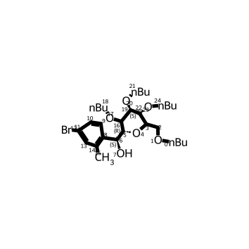 CCCCOCC1O[C@H]([C@@H](O)c2ccc(Br)cc2C)C(OCCCC)[C@@H](OCCCC)[C@@H]1OCCCC